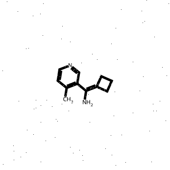 Cc1ccncc1C(N)=C1CCC1